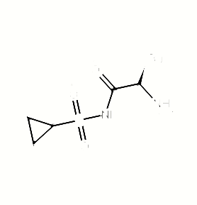 CC[C@H](C)C(N)C(=O)NS(=O)(=O)C1CC1